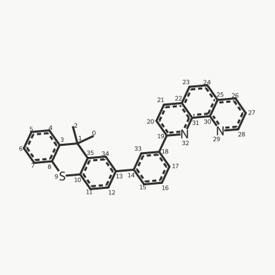 CC1(C)c2ccccc2Sc2ccc(-c3cccc(-c4ccc5ccc6cccnc6c5n4)c3)cc21